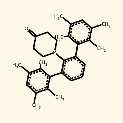 Cc1cc(C)c(C)c(-c2cccc(-c3c(C)c(C)cc(C)c3C)c2P2CCC(=O)CC2)c1C